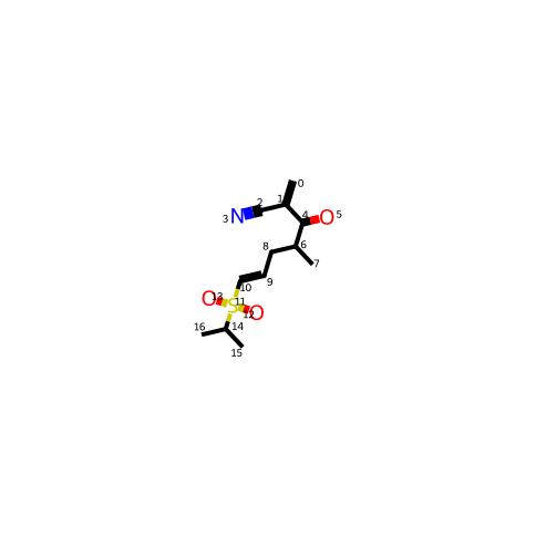 C=C(C#N)C(=O)C(C)CC=CS(=O)(=O)C(C)C